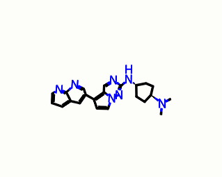 CN(C)[C@H]1CC[C@H](Nc2ncc3c(-c4cnc5ncccc5c4)ccn3n2)CC1